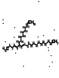 CCCC=CC(C=CCCCCCCCCCCCC)=CCCCCCCCCC